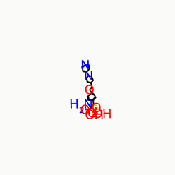 NC(Cc1ccc(OCC2CCN(c3ccncc3)CC2)cc1)(C(=O)O)S(=O)(=O)O